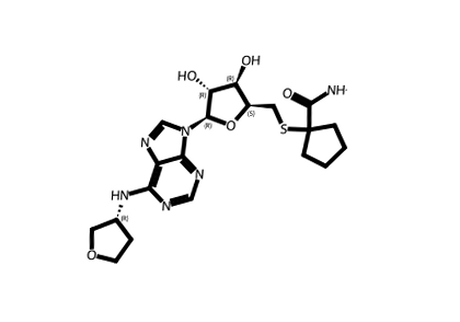 [NH]C(=O)C1(SC[C@H]2O[C@@H](n3cnc4c(N[C@@H]5CCOC5)ncnc43)[C@H](O)[C@H]2O)CCCC1